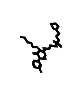 CCOCCOC1=C(NCCNS(=O)(=O)CCCN2CCCC2)CNN(c2cccc(Cl)c2)C1=O